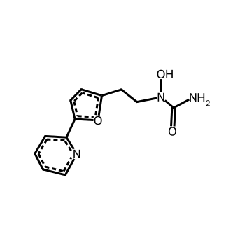 NC(=O)N(O)CCc1ccc(-c2ccccn2)o1